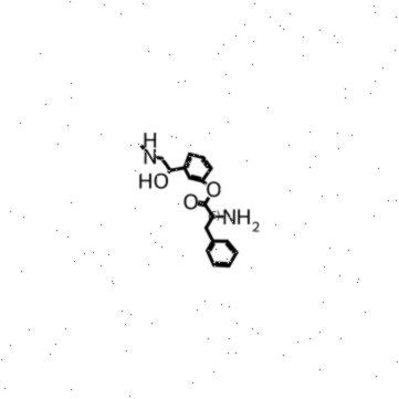 CNCC(O)c1cccc(OC(=O)[C@@H](N)Cc2ccccc2)c1